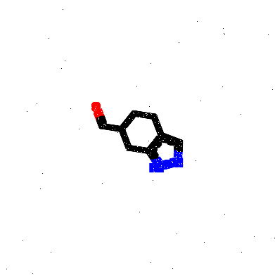 O=CC1CCc2cn[nH]c2C1